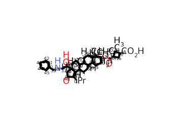 CC(C)C1=C2[C@H]3CC[C@@H]4[C@@]5(C)CC[C@H](OC(=O)[C@H]6C[C@@H](C(=O)O)C6(C)C)C(C)(C)[C@@H]5CC[C@@]4(C)[C@]3(C)CC[C@@]2([C@@H](O)CNCc2ccccc2)CC1=O